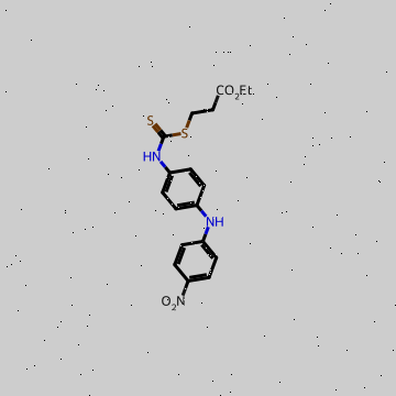 CCOC(=O)CCSC(=S)Nc1ccc(Nc2ccc([N+](=O)[O-])cc2)cc1